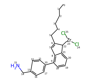 CCCCCCC1=Cc2c(-c3ccc(CN)cc3)cccc2[CH]1[Zr]([Cl])[Cl]